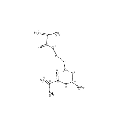 C=C(C)C(=O)OCCOCC(OC)OC(=O)C(=C)C